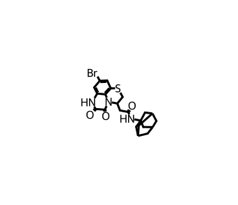 O=C(CC1CSc2cc(Br)cc3[nH]c(=O)c(=O)n1c23)NC12CC3CC(CC(C3)C1)C2